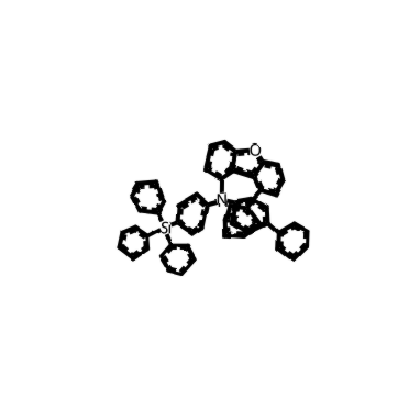 c1ccc(-c2ccc(N(c3ccc([Si](c4ccccc4)(c4ccccc4)c4ccccc4)cc3)c3cccc4oc5cccc(-c6ccccc6)c5c34)cc2)cc1